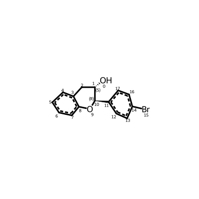 O[C@H]1Cc2ccccc2O[C@@H]1c1ccc(Br)cc1